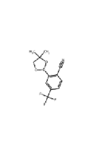 CC1(C)COB(c2cc(C(F)(F)F)ccc2C#N)O1